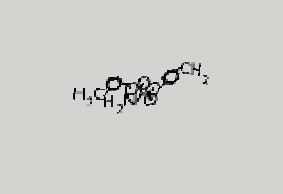 C=Cc1ccc(COC(=O)C(CN)C(=O)OCc2cccc(C=C)c2)cc1